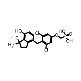 CC1(C)CCc2c(Cc3c(Cl)cc(OCP(=O)(O)O)cc3Cl)ccc(O)c21